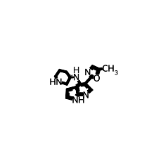 Cc1cnc(-c2cnc3[nH]ccc3c2N[C@@H]2CCCNC2)o1